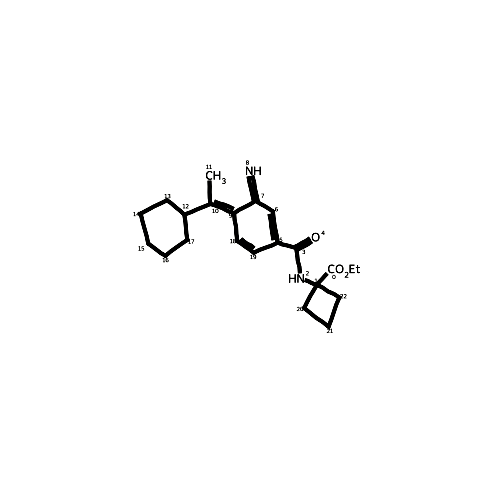 CCOC(=O)C1(NC(=O)C2=CC(=N)/C(=C(\C)C3CCCCC3)C=C2)CCC1